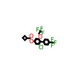 O=C(Oc1cc(Cl)c(-c2ccc(C(F)(F)F)cc2)c(OCC(F)(F)F)c1)C1CCC1